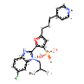 CC(C)Cn1c(-c2oc(CCCc3ccncc3)cc2P(=O)(O)O)nc2ccc(Cl)cc21